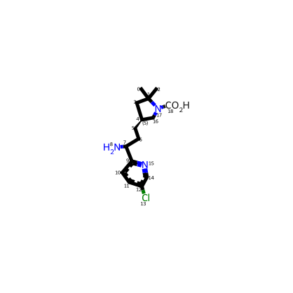 CC1(C)C[C@H](CCC(N)c2ccc(Cl)cn2)CN1C(=O)O